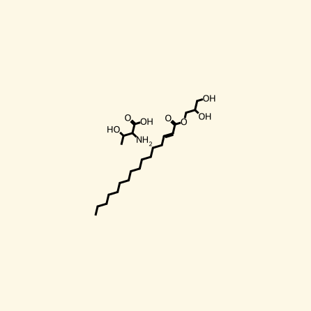 CC(O)C(N)C(=O)O.CCCCCCCCCCCCC/C=C/C(=O)OCC(O)CO